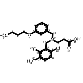 CCCCOc1cccc(CN(CCC(=O)O)Cc2c(Cl)ccc(C)c2F)c1